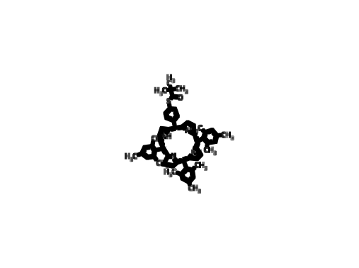 Cc1cc(C)c(-c2c3nc(c(-c4c(C)cc(C)cc4C)c4ccc([nH]4)c(-c4c(C)cc(C)cc4C)c4nc(c(-c5ccc(SC(=O)C(C)(C)C)cc5)c5ccc2[nH]5)C=C4)C=C3)c(C)c1